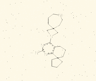 Nc1nc(N2CC3(CCCNCC3)C2)c2c(n1)C1(CCCC1)CCC2